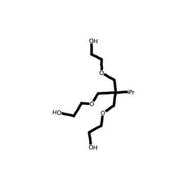 CC(C)C(COCCO)(COCCO)COCCO